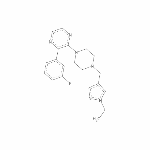 CCn1cc(CN2CCN(c3nccnc3-c3cccc(F)c3)CC2)cn1